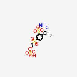 Cc1ccc(S(=O)(=O)CCOS(=O)(=O)O)cc1S(=O)(=O)ON